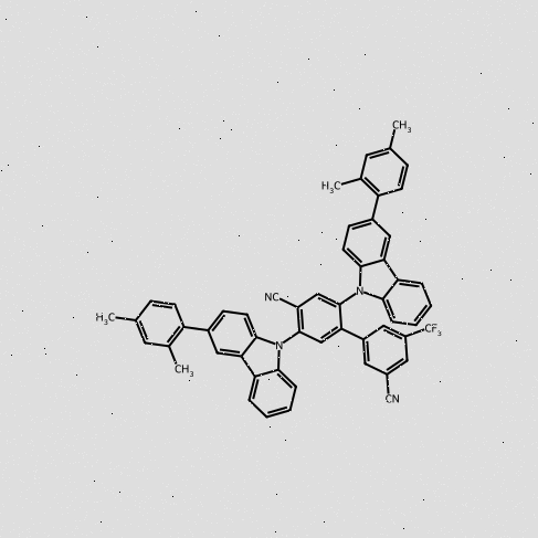 Cc1ccc(-c2ccc3c(c2)c2ccccc2n3-c2cc(-c3cc(C#N)cc(C(F)(F)F)c3)c(-n3c4ccccc4c4cc(-c5ccc(C)cc5C)ccc43)cc2C#N)c(C)c1